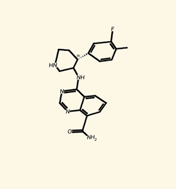 Cc1ccc([C@H]2CCNCC2Nc2ncnc3c(C(N)=O)cccc23)cc1F